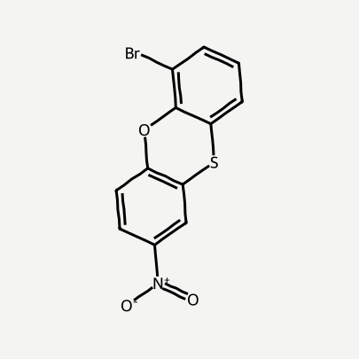 O=[N+]([O-])c1ccc2c(c1)Sc1cccc(Br)c1O2